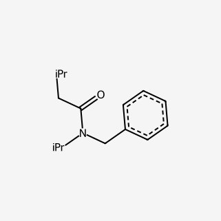 CC(C)CC(=O)N(Cc1ccccc1)C(C)C